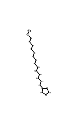 CCSCCCCCCCCCCCCCCC1CCCC1